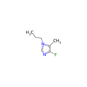 CCCn1cnc(F)c1C